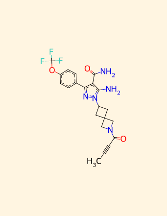 CC#CC(=O)N1CC2(CC(n3nc(-c4ccc(OC(F)(F)F)cc4)c(C(N)=O)c3N)C2)C1